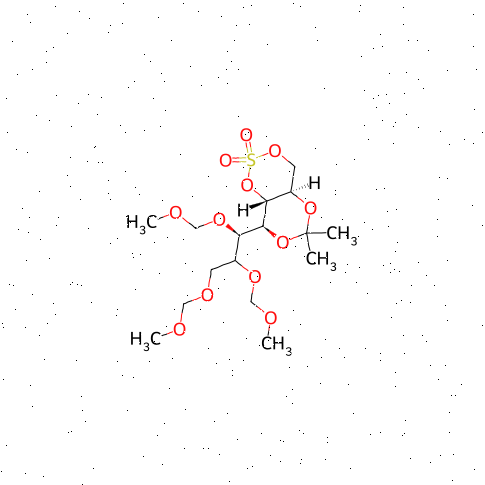 COCOCC(OCOC)[C@@H](OCOC)[C@@H]1OC(C)(C)O[C@@H]2COS(=O)(=O)O[C@@H]12